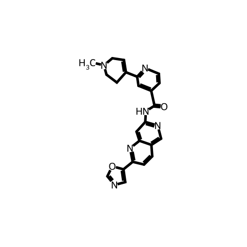 CN1CC=C(c2cc(C(=O)Nc3cc4nc(-c5cnco5)ccc4cn3)ccn2)CC1